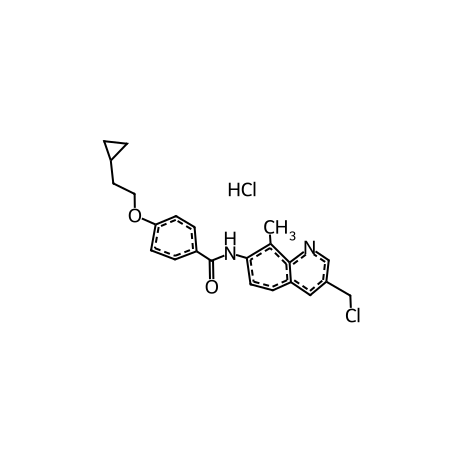 Cc1c(NC(=O)c2ccc(OCCC3CC3)cc2)ccc2cc(CCl)cnc12.Cl